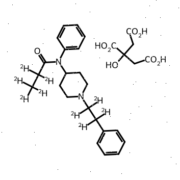 O=C(O)CC(O)(CC(=O)O)C(=O)O.[2H]C([2H])([2H])C([2H])([2H])C(=O)N(c1ccccc1)C1CCN(C([2H])([2H])C([2H])([2H])c2ccccc2)CC1